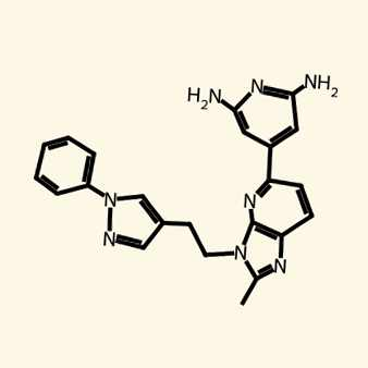 Cc1nc2ccc(-c3cc(N)nc(N)c3)nc2n1CCc1cnn(-c2ccccc2)c1